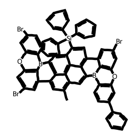 Cc1cc2c3c(cc4c([Si](c5ccccc5)(c5ccccc5)c5ccccc5)cc5c6c(cc1c3c46)B1c3ccc(-c4ccccc4)cc3Oc3cc(Br)cc-5c31)B1c3ccc(Br)cc3Oc3cc(Br)cc-2c31